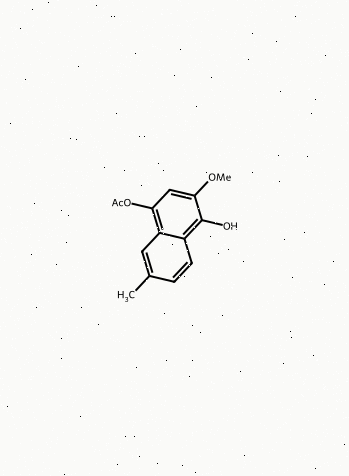 COc1cc(OC(C)=O)c2cc(C)ccc2c1O